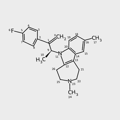 C=C(c1ccc(F)cc1)[C@H](C)n1c2c(c3cc(C)ccc31)CCN(C)CC2